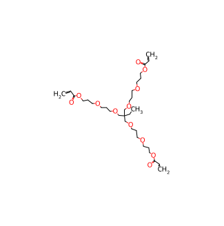 C=CC(=O)OCCCOCCCOCC(CC)(COCCCOCCCOC(=O)C=C)COCCCOCCCOC(=O)C=C